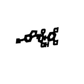 O=C1N(C2CCc3cc(Br)ccc32)CC(O)N1c1cc(Cl)cc(Cl)c1